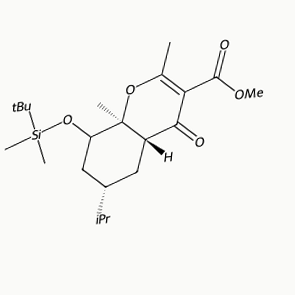 COC(=O)C1=C(C)O[C@]2(C)C(O[Si](C)(C)C(C)(C)C)C[C@@H](C(C)C)C[C@H]2C1=O